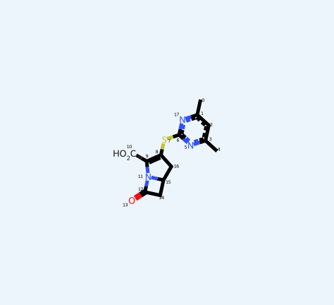 Cc1cc(C)nc(SC2=C(C(=O)O)N3C(=O)CC3C2)n1